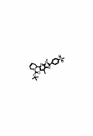 Cc1cc(C2CC=CCN2C(=O)OC(C)(C)C)nc2c1nc(-c1ccc(S(C)(=O)=O)cc1)n2C